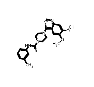 COc1cc2ncnc(N3CCN(C(=S)Nc4cccc(C)c4)CC3)c2cc1OC